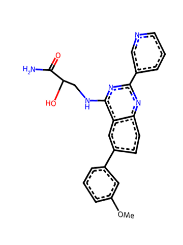 COc1cccc(-c2ccc3nc(-c4cccnc4)nc(NCC(O)C(N)=O)c3c2)c1